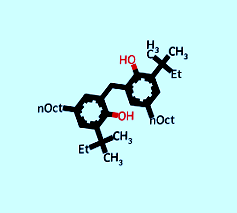 CCCCCCCCc1cc(Cc2cc(CCCCCCCC)cc(C(C)(C)CC)c2O)c(O)c(C(C)(C)CC)c1